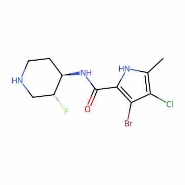 Cc1[nH]c(C(=O)N[C@@H]2CCNC[C@H]2F)c(Br)c1Cl